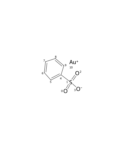 O=S(=O)([O-])c1ccccc1.[Au+]